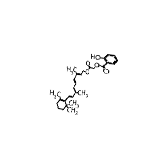 CC(C=CC1=C(C)CCCC1(C)C)=CC=CC(C)=CCOC(=O)COC(=O)c1ccccc1O